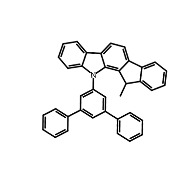 CC1c2ccccc2-c2ccc3c4ccccc4n(-c4cc(-c5ccccc5)cc(-c5ccccc5)c4)c3c21